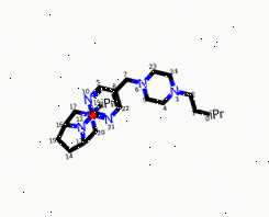 CC(C)CCN1CCN(Cc2cnc(N3C4CCC3CN(C(C)C)C4)nc2)CC1